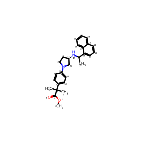 COC(=O)C(C)(C)c1ccc(N2CC[C@H](N[C@H](C)c3cccc4ccccc34)C2)cc1